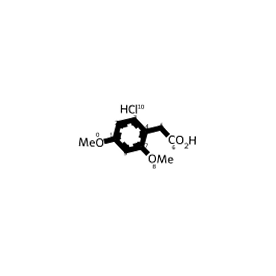 COc1ccc(CC(=O)O)c(OC)c1.Cl